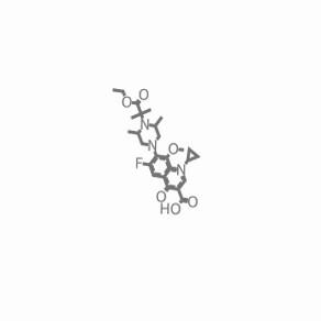 CCOC(=O)C(C)(C)N1C(C)CN(c2c(F)cc3c(=O)c(C(=O)O)cn(C4CC4)c3c2OC)CC1C